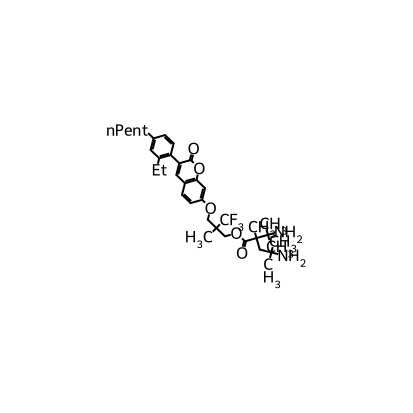 CCCCCc1ccc(-c2cc3ccc(OCC(C)(COC(=O)C(C)(CC(C)(C)N)C(C)(C)N)C(F)(F)F)cc3oc2=O)c(CC)c1